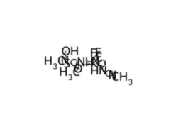 COc1cc(SN(C)CCO)ccc1NCC#Cc1cc2c(NC3CCN(C)CC3)cccc2n1CC(F)(F)F